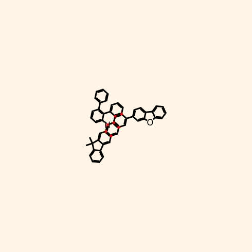 CC1(C)c2ccccc2-c2ccc(N(c3ccc(-c4ccc5c(c4)oc4ccccc45)cc3)c3cccc(-c4ccccc4)c3-c3ccccc3-c3ccccc3)cc21